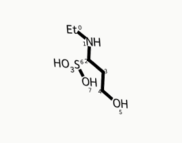 CCNCCCO.O=S(=O)(O)O